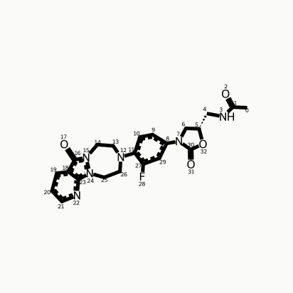 CC(=O)NC[C@H]1CN(c2ccc(N3CCn4c(=O)c5cccnc5n4CC3)c(F)c2)C(=O)O1